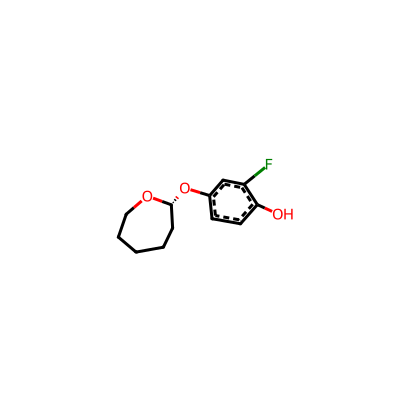 Oc1ccc(O[C@@H]2CCCCCO2)cc1F